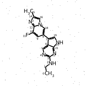 CCNc1ncc2c(-c3cc(F)c4nc(C)cn4c3)c[nH]c2n1